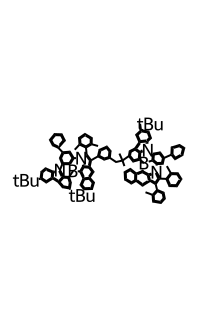 Cc1ccccc1-c1c(-c2ccccc2C)n2c3c(c4ccccc4cc13)B1c3c-2cc(-c2ccccc2)cc3-n2c3ccc(C(C)(C)C)cc3c3cc(C(C)(C)Cc4cccc(-c5c(-c6c(C)cccc6C)n6c7c(c8ccccc8cc57)B5c7c-6cc(-c6ccccc6)cc7-n6c7ccc(C(C)(C)C)cc7c7cc(C(C)(C)C)cc5c76)c4)cc1c32